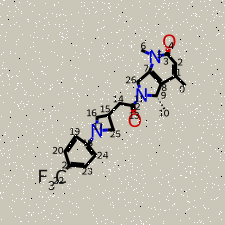 Cc1cc(=O)n(C)c2c1[C@H](C)N(C(=O)CC1CN(c3ccc(C(F)(F)F)cc3)C1)C2